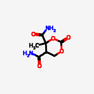 CC1(C(N)=O)OC(=O)OC[C]1C(N)=O